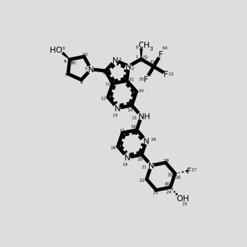 C[C@H](n1nc(N2CC[C@@H](O)C2)c2cnc(Nc3ccnc(N4CC[C@@H](O)[C@@H](F)C4)n3)cc21)C(F)(F)F